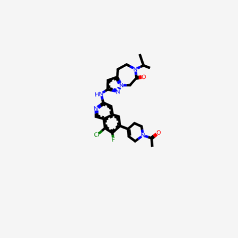 CC(=O)N1CC=C(c2cc3cc(Nc4cc5n(n4)CC(=O)N(C(C)C)CC5)ncc3c(Cl)c2F)CC1